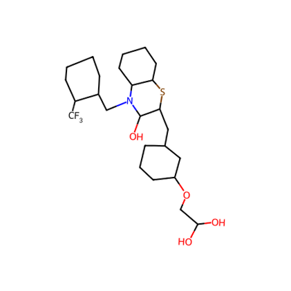 OC(O)COC1CCCC(CC2SC3CCCCC3N(CC3CCCCC3C(F)(F)F)C2O)C1